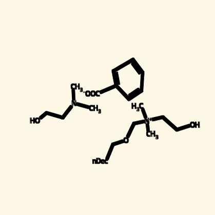 CCCCCCCCCCCOC[N+](C)(C)CCO.CN(C)CCO.O=C([O-])c1ccccc1